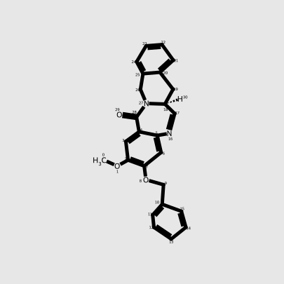 COc1cc2c(cc1OCc1ccccc1)N=C[C@@H]1Cc3ccccc3CN1C2=O